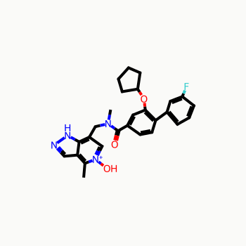 Cc1c2cn[nH]c2c(CN(C)C(=O)c2ccc(-c3cccc(F)c3)c(OC3CCCC3)c2)c[n+]1O